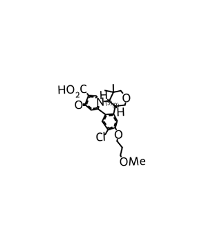 COCCCOc1cc2c(cc1Cl)-c1cc(=O)c(C(=O)O)cn1[C@H]1[C@@H]2COCC1(C)C